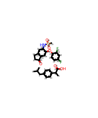 CC(C)Cc1ccc(C(C)C(=O)O)cc1.CS(=O)(=O)Nc1cc2c(cc1Oc1ccc(F)cc1F)C(=O)CC2